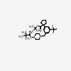 CC(C)(C)OC(=O)C1(c2cc(CN3CCN(OC(=O)C(C)(C)C)CC3)cc(C(F)(F)F)c2)CCCC1